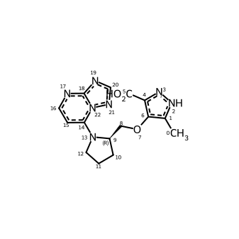 Cc1[nH]nc(C(=O)O)c1OC[C@H]1CCCN1c1ccnc2ncnn12